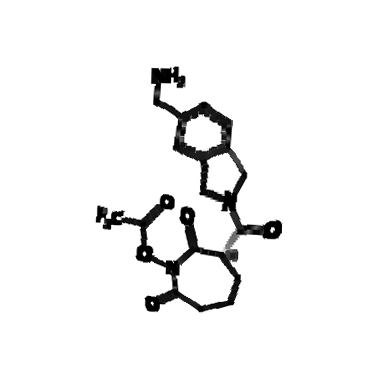 NCc1ccc2c(c1)CN(C(=O)[C@@H]1CCCC(=O)N(OC(=O)C(F)(F)F)C1=O)C2